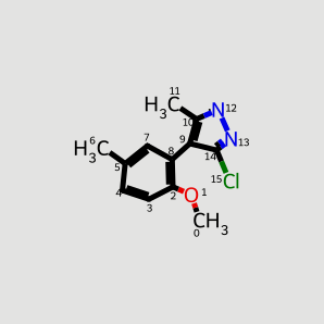 COc1ccc(C)cc1C1=C(C)[N]N=C1Cl